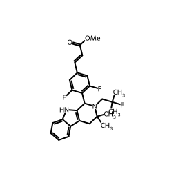 COC(=O)C=Cc1cc(F)c(C2c3[nH]c4ccccc4c3CC(C)(C)N2CC(C)(C)F)c(F)c1